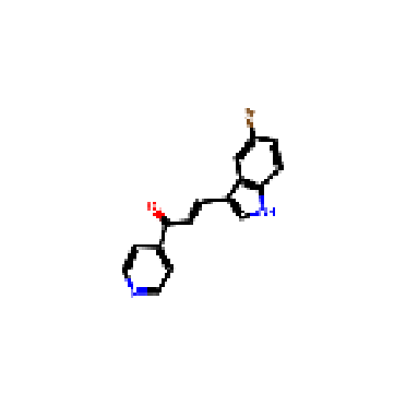 O=C(C=Cc1c[nH]c2ccc(Br)cc12)c1ccncc1